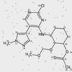 COCOC1C(Nc2nc(Cl)ncc2-c2cnn(C)c2)CCCC1OC(C)=O